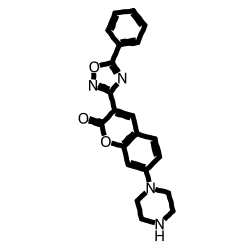 O=c1oc2cc(N3CCNCC3)ccc2cc1-c1noc(-c2ccccc2)n1